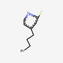 CC(C)CCCc1ccnc(F)c1